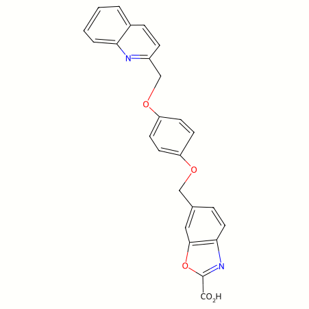 O=C(O)c1nc2ccc(COc3ccc(OCc4ccc5ccccc5n4)cc3)cc2o1